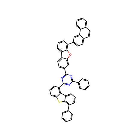 c1ccc(-c2nc(-c3ccc4c(c3)oc3c(-c5ccc6ccc7ccccc7c6c5)cccc34)nc(-c3cccc4sc5c(-c6ccccc6)cccc5c34)n2)cc1